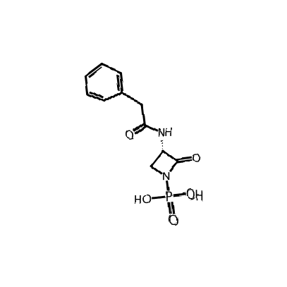 O=C(Cc1ccccc1)N[C@H]1CN(P(=O)(O)O)C1=O